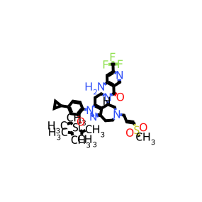 CC(C)[Si](Oc1cc(C2CC2)ccc1-n1nc2c3c1CCN(C(=O)c1cnc(C(F)(F)F)cc1N)[C@H]3CN(C/C=C/S(C)(=O)=O)CC2)(C(C)C)C(C)C